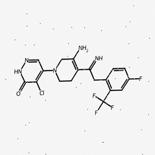 N=C(Cc1ccc(F)cc1C(F)(F)F)C1=C(N)CN(c2cn[nH]c(=O)c2Cl)CC1